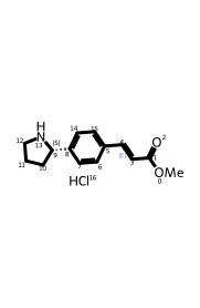 COC(=O)/C=C/c1ccc([C@@H]2CCCN2)cc1.Cl